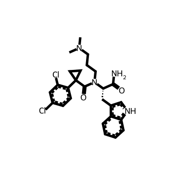 CN(C)CCCN(C(=O)C1(c2ccc(Cl)cc2Cl)CC1)[C@@H](Cc1c[nH]c2ccccc12)C(N)=O